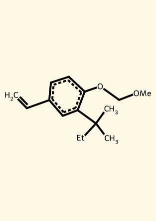 C=Cc1ccc(OCOC)c(C(C)(C)CC)c1